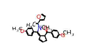 COc1ccc(C(=O)C2CC=C/C2=C(\c2ccc(OC)cc2)N(C)C(C)c2ccco2)cc1